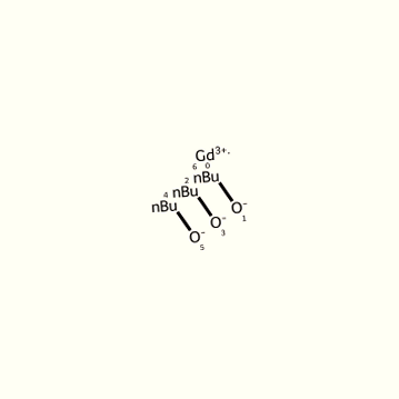 CCCC[O-].CCCC[O-].CCCC[O-].[Gd+3]